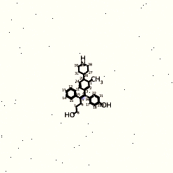 CC1C=C(/C(=C(/CCCO)c2ccccc2)c2ccc(O)cc2)C=CC1C1CCNCC1